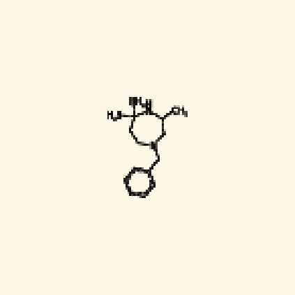 BC1(B)CCN(Cc2ccccc2)CC(C)N1